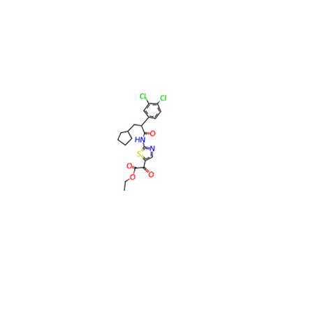 CCOC(=O)C(=O)c1cnc(NC(=O)C(CC2CCCC2)c2ccc(Cl)c(Cl)c2)s1